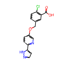 O=C(O)c1cc(COc2ccc(-c3ccn[nH]3)nc2)ccc1Cl